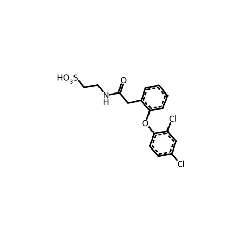 O=C(Cc1ccccc1Oc1ccc(Cl)cc1Cl)NCCS(=O)(=O)O